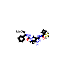 COC[C@@H](NC(=O)N1Cc2c(NC(=O)C3(S(C)(C)C)CCC3)n[nH]c2C1(C)C)c1ccccc1